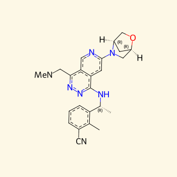 CNCc1nnc(N[C@H](C)c2cccc(C#N)c2C)c2cc(N3C[C@H]4C[C@@H]3CO4)ncc12